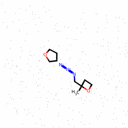 C1CCOC1.CC1(CN=[N+]=[N-])CCO1